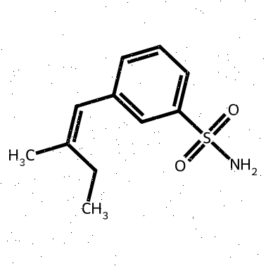 CC/C(C)=C\c1cccc(S(N)(=O)=O)c1